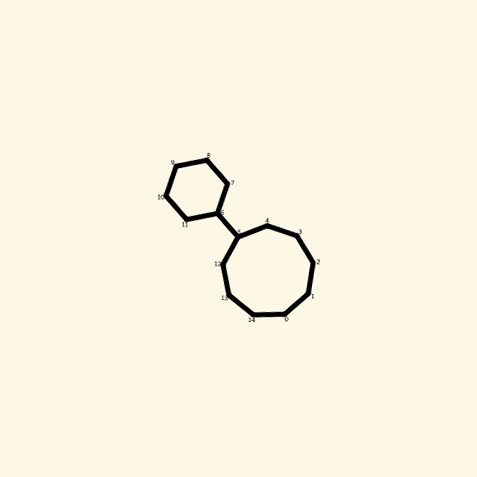 C1CCCC[C](C2CCCCC2)CCC1